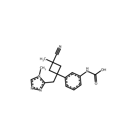 Cn1cnnc1CC1(c2cccc(NC(=O)O)c2)CC(C)(C#N)C1